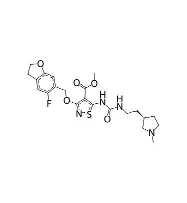 COC(=O)c1c(OCc2cc3c(cc2F)CCO3)nsc1NC(=O)NCC[C@H]1CCN(C)C1